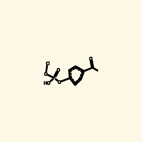 CC(=O)c1ccc(OP(=O)(O)OCl)cc1